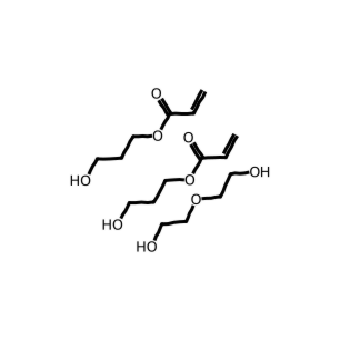 C=CC(=O)OCCCO.C=CC(=O)OCCCO.OCCOCCO